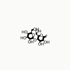 OC[C@H]1O[C@@H](O[C@H]2[C@H](O)[C@@H](O)C(F)O[C@@H]2CO)[C@H](O)[C@@H](O)[C@H]1O